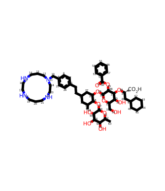 CC1CC(CCc2ccc(CN3CCCNCCNCCCNCC3)cc2)CC(OC2OC(CO)C(O)C(O[C@@H](CC3CCCCC3)C(=O)O)C2OC(=O)c2ccccc2)C1OC1OC(C)C(O)C(O)C1O